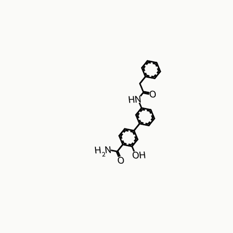 NC(=O)c1ccc(-c2cccc(NC(=O)Cc3ccccc3)c2)cc1O